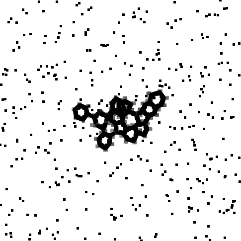 c1ccc(-c2nc(-c3ccccc3)nc(-c3ccccc3-n3c4ccc5cccc6c5c4c4c5c(ccc7c8cc9ccccc9cc8n6c75)ccc43)n2)cc1